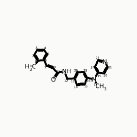 Cc1ccccc1C=CC(=O)NCc1ccc(N(C)c2ccncc2)cc1